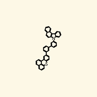 c1cc(-c2cccc(-n3c4ccccc4c4c5ccccc5ccc43)c2)cc(-c2ccc3c(c2)-c2cccc4cccc(c24)S3)c1